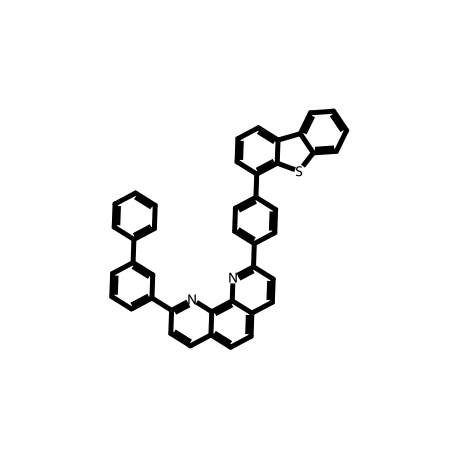 c1ccc(-c2cccc(-c3ccc4ccc5ccc(-c6ccc(-c7cccc8c7sc7ccccc78)cc6)nc5c4n3)c2)cc1